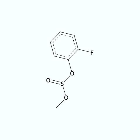 COS(=O)Oc1ccccc1F